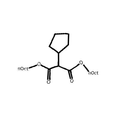 CCCCCCCCOC(=O)C(C(=O)OCCCCCCCC)C1CCCC1